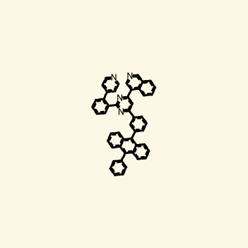 c1ccc(-c2c3ccccc3c(-c3cccc(-c4cc(-c5cncc6ccccc56)nc(-c5ccccc5-c5ccncc5)n4)c3)c3ccccc23)cc1